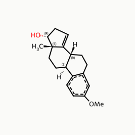 COc1ccc2c(c1)CC[C@H]1C3=CC[C@@H](O)[C@@]3(C)CC[C@H]21